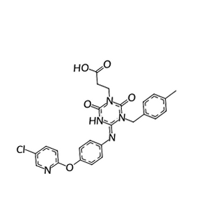 Cc1ccc(Cn2c(=O)n(CCC(=O)O)c(=O)[nH]/c2=N\c2ccc(Oc3ccc(Cl)cn3)cc2)cc1